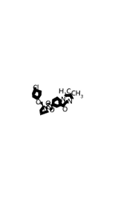 CC1(C)CN=C2C(=O)c3cc(S(=O)(=O)N4CCC[C@H]4COc4ccc(Cl)cc4)ccc3N2C1